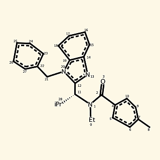 CCN(C(=O)c1ccc(C)cc1)[C@@H](c1nc2ccccc2n1Cc1ccccc1)C(C)C